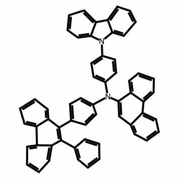 c1ccc(-c2c(-c3ccc(N(c4ccc(-n5c6ccccc6c6ccccc65)cc4)c4cc5ccccc5c5ccccc45)cc3)c3ccccc3c3ccccc23)cc1